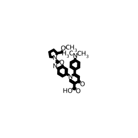 COCC1CCCN1c1nc2ccc(-n3cc(C(=O)O)c(=O)cc3-c3ccc(N(C)C)cc3)cc2o1